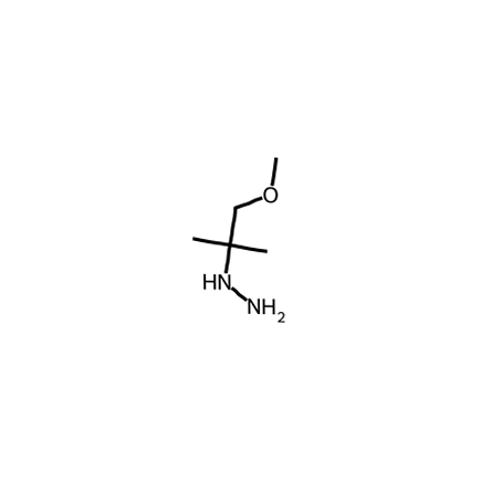 COCC(C)(C)NN